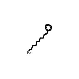 BrCCCCCCCC/C=C/c1ccccc1